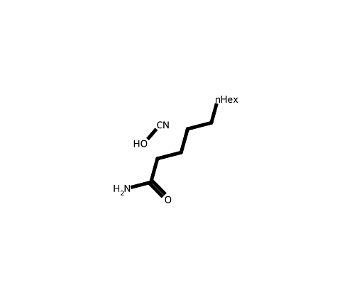 CCCCCCCCCCC(N)=O.N#CO